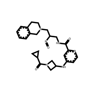 O=NC(CNC(=O)c1cc(NC2CN(C(=O)C3CC3)C2)ccn1)CN1CCc2ccccc2C1